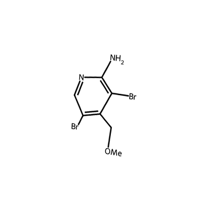 COCc1c(Br)cnc(N)c1Br